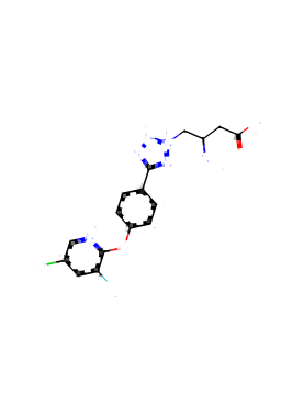 Cl.NC(CC(=O)O)Cn1nnc(-c2ccc(Oc3ncc(Cl)cc3F)cc2)n1